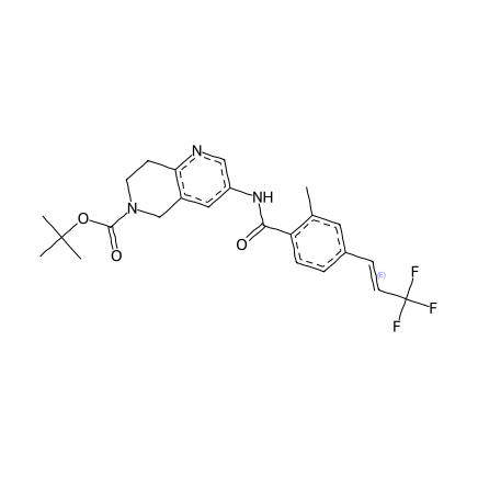 Cc1cc(/C=C/C(F)(F)F)ccc1C(=O)Nc1cnc2c(c1)CN(C(=O)OC(C)(C)C)CC2